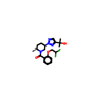 C[C@@H]1CC[C@@H](n2ncc(C(C)(C)O)n2)CN1C(=O)c1ccccc1OCC(F)F